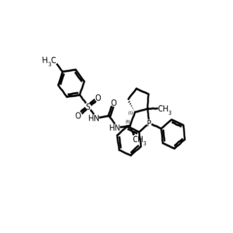 Cc1ccc(S(=O)(=O)NC(=O)N[C@H](C)[C@@H]2CCCC2(C)P(c2ccccc2)c2ccccc2)cc1